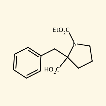 CCOC(=O)N1CCCC1(Cc1ccccc1)C(=O)O